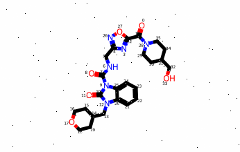 O=C(c1nc(CNC(=O)n2c(=O)n(CC3CCOCC3)c3ccccc32)no1)N1CCC(CO)CC1